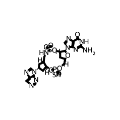 Nc1nc2c(ncn2[C@H]2O[C@@H]3CO[P@](=O)(S)O[C@H]4C[C@H](n5cnc6cncnc65)C[C@@H]4CNS(=O)(=O)O[C@@H]2C3)c(=O)[nH]1